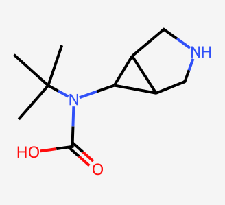 CC(C)(C)N(C(=O)O)C1C2CNCC21